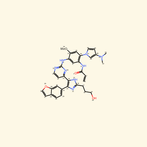 C=CC(=O)Nc1cc(Nc2nccc(-c3[nH]c(CCCO)nc3-c3ccc4ccoc4c3)n2)c(OC)cc1-n1ccc(N(C)C)c1